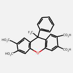 O=C(O)c1cc2c(cc1C(=O)O)C(c1ccccc1)(C(F)(F)F)c1cc(C(=O)O)c(C(=O)O)cc1O2